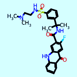 CN(C)CCNS(=O)(=O)c1cccc(C(C)(C)NC(=O)c2cc3[nH]c4ccccc4c(=O)c3cc2F)c1